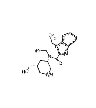 CC(C)CN(C(=O)c1nc2ccccc2n1CC(F)(F)F)[C@@H]1CNC[C@H](CO)C1